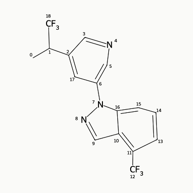 CC(c1cncc(-n2ncc3c(C(F)(F)F)cccc32)c1)C(F)(F)F